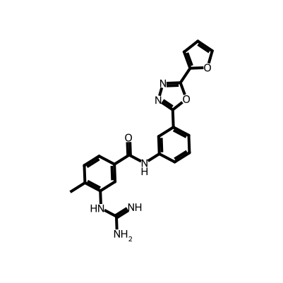 Cc1ccc(C(=O)Nc2cccc(-c3nnc(-c4ccco4)o3)c2)cc1NC(=N)N